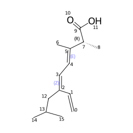 C=C/C(=C\C=C(/C)[C@@H](C)C(=O)O)CC(C)C